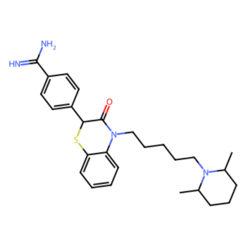 CC1CCCC(C)N1CCCCCN1C(=O)C(c2ccc(C(=N)N)cc2)Sc2ccccc21